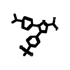 CC(C)c1ccc(-n2nc(C(F)F)cc2-c2ccc(S(C)(=O)=O)cc2)cc1